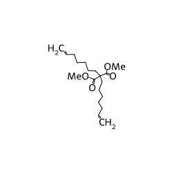 C=CCCCCCC(CCCCCC=C)(C(=O)OC)C(=O)OC